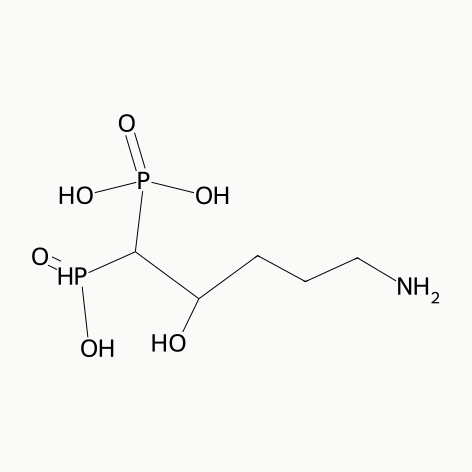 NCCCC(O)C([PH](=O)O)P(=O)(O)O